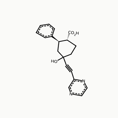 O=C(O)[C@@H]1CCC(O)(C#Cc2cnccn2)C[C@H]1c1ccccc1